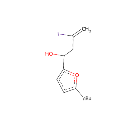 C=C(I)CC(O)c1ccc(CCCC)o1